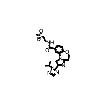 CC(C)n1ncnc1C1=NC2=CCOc3ccc(C(=O)NCCS(C)(=O)=O)cc3N2C1